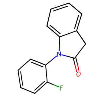 O=C1Cc2ccccc2N1c1ccccc1F